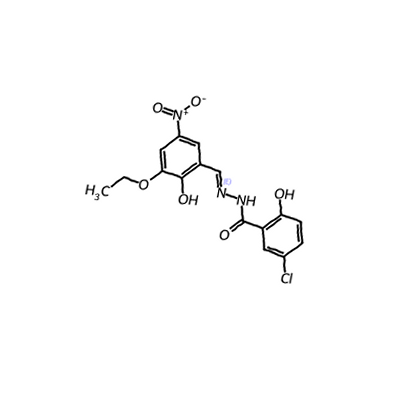 CCOc1cc([N+](=O)[O-])cc(/C=N/NC(=O)c2cc(Cl)ccc2O)c1O